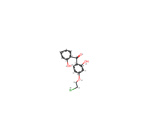 O=C(c1ccccc1O)c1ccc(OCCBr)cc1O